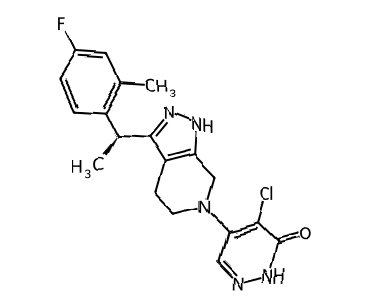 Cc1cc(F)ccc1[C@H](C)c1n[nH]c2c1CCN(c1cn[nH]c(=O)c1Cl)C2